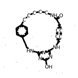 O=C1NCCCCCc2ccc(cc2)CNc2nc(O)nc(n2)Nc2ccc1cc2